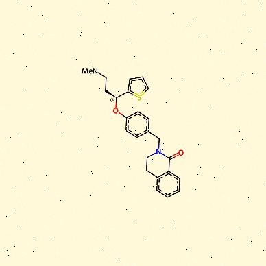 CNCC[C@H](Oc1ccc(CN2CCc3ccccc3C2=O)cc1)c1cccs1